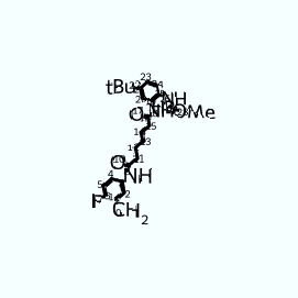 C=C/C=C(\C=C/CF)NC(=O)CCCCCC(=O)Nc1cc(C(C)(C)C)ccc1NBOC